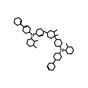 CC1CCCC(N(C2C=C[C@](C)(C3CCC(C)(C4CCC(N(C5CCC(C6CC=CCC6)CC5)C5CCCCC5C)CC4)C(C)C3)CC2)C2CC=C(C3=CCCCC3)CC2)C1C